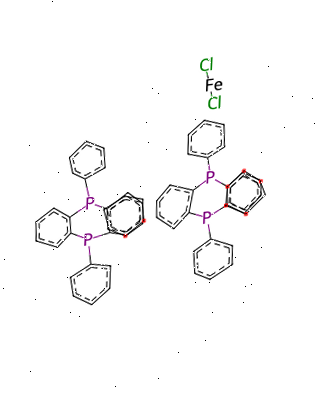 [Cl][Fe][Cl].c1ccc(P(c2ccccc2)c2ccccc2P(c2ccccc2)c2ccccc2)cc1.c1ccc(P(c2ccccc2)c2ccccc2P(c2ccccc2)c2ccccc2)cc1